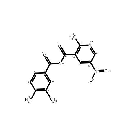 Cc1ccc(C(=O)NC(=O)c2cc([N+](=O)[O-])cnc2C)cc1C